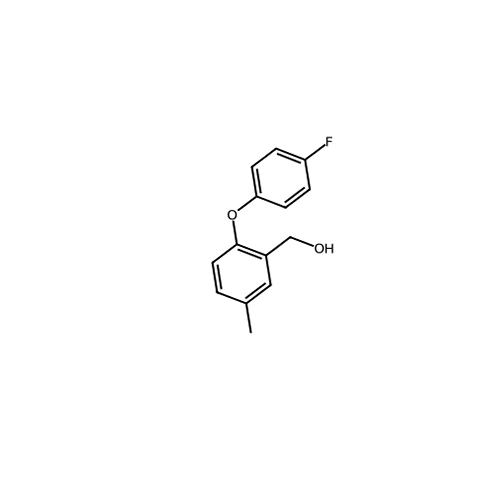 Cc1ccc(Oc2ccc(F)cc2)c(CO)c1